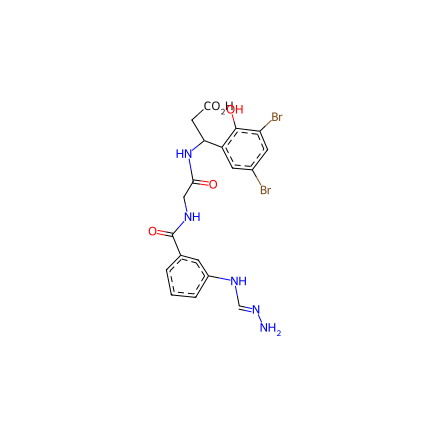 NN=CNc1cccc(C(=O)NCC(=O)NC(CC(=O)O)c2cc(Br)cc(Br)c2O)c1